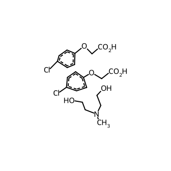 CN(CCO)CCO.O=C(O)COc1ccc(Cl)cc1.O=C(O)COc1ccc(Cl)cc1